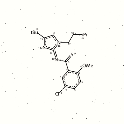 COc1ccc(Cl)cc1C(=S)N=c1sc(C(C)(C)C)cn1CCC(C)C